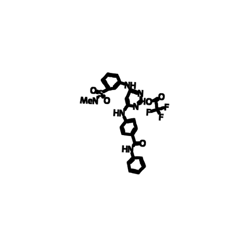 CNS(=O)(=O)c1cccc(Nc2cc(Nc3ccc(C(=O)Nc4ccccc4)cc3)ncn2)c1.O=C(O)C(F)(F)F